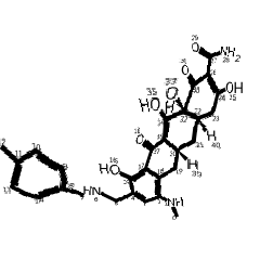 CNc1cc(CNCc2ccc(C)cc2)c(O)c2c1C[C@H]1C[C@H]3CC(O)=C(C(N)=O)C(=O)[C@@]3(O)C(O)=C1C2=O